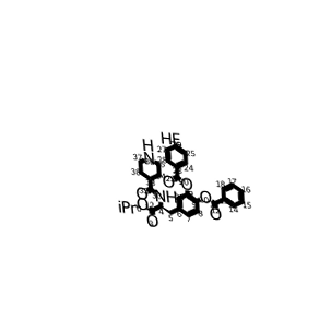 CC(C)OC(=O)[C@H](Cc1ccc(OC(=O)c2ccccc2)c(OC(=O)c2ccccc2)c1)NC(=O)C1CCNCC1.F